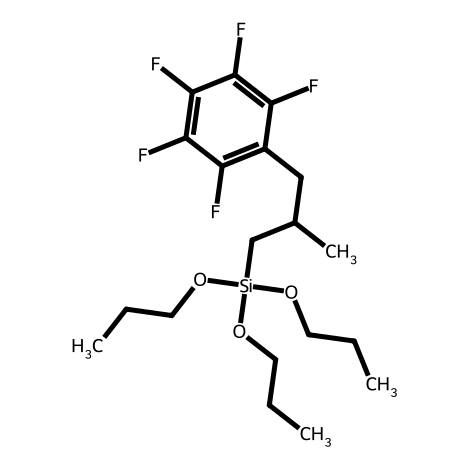 CCCO[Si](CC(C)Cc1c(F)c(F)c(F)c(F)c1F)(OCCC)OCCC